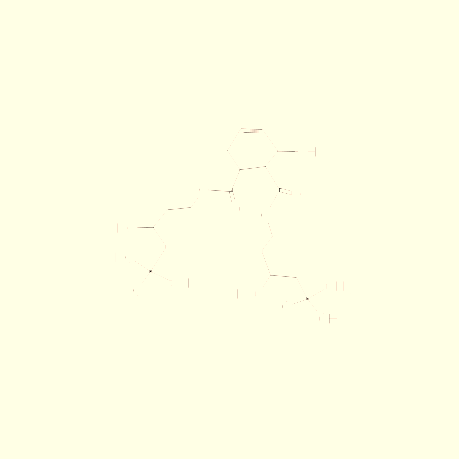 CC(CCOC(=O)C1CC=CC(C)C1C(=O)OCCC(C)CC(C)(C)C)CC(C)(C)C